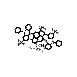 Cc1cc2c3c(cc4c([Si](C)(C)C)cc5c6c(cc1c3c46)B1c3ccccc3N(c3ccccc3)c3cc(C(F)(F)F)cc-5c31)B1c3ccccc3N(c3ccccc3)c3cc(C(F)(F)F)cc-2c31